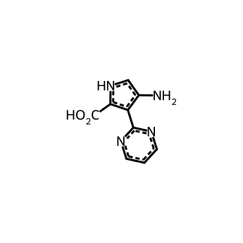 Nc1c[nH]c(C(=O)O)c1-c1ncccn1